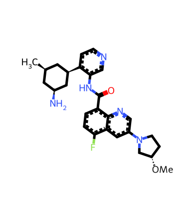 CO[C@H]1CCN(c2cnc3c(C(=O)Nc4cnccc4[C@@H]4C[C@H](C)C[C@H](N)C4)ccc(F)c3c2)C1